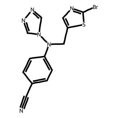 N#Cc1ccc(N(Cc2cnc(Br)s2)n2cnnc2)cc1